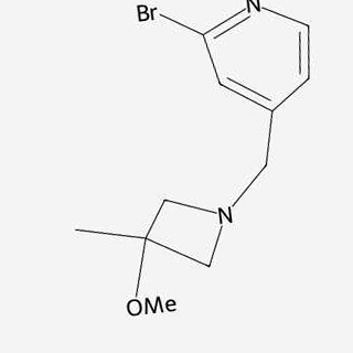 COC1(C)CN(Cc2ccnc(Br)c2)C1